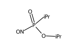 CC(C)OP(=O)(N=O)C(C)C